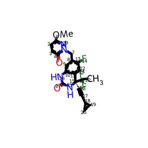 COc1ccc(=O)n(Cc2cc3c(cc2F)[C@@](C#CC2CC2)(C(C)(F)F)NC(=O)N3)n1